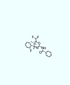 C[C@H]1[C@@H](C(F)F)OC(NC(=O)c2ccccc2)=N[C@]1(C)c1ccccc1F